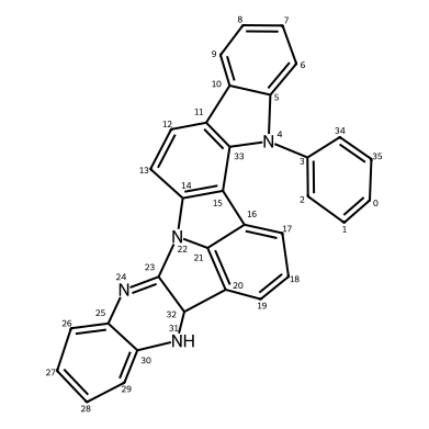 c1ccc(-n2c3ccccc3c3ccc4c(c5cccc6c5n4C4=Nc5ccccc5NC46)c32)cc1